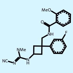 CN/C(=N\C#N)NC1CC(CNC(=O)c2ccccc2OC)(c2cccc(F)c2)C1